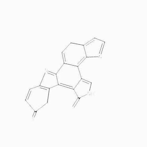 O=C1C=CC2=C(C1)c1c3c(c4c(c1=N2)=CCC1=CC=NC=41)=CNC3=O